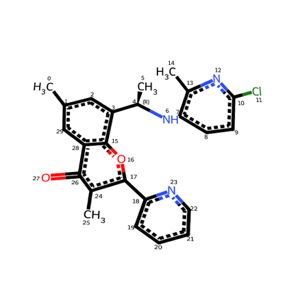 Cc1cc([C@@H](C)Nc2ccc(Cl)nc2C)c2oc(-c3ccccn3)c(C)c(=O)c2c1